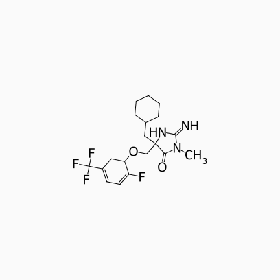 CN1C(=N)NC(COC2CC(C(F)(F)F)=CC=C2F)(CC2CCCCC2)C1=O